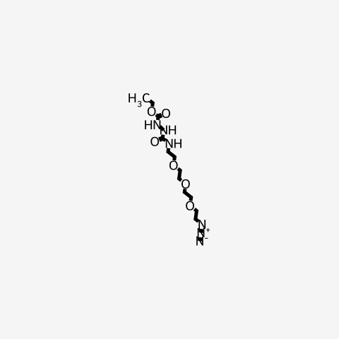 CCOC(=O)NNC(=O)NCCOCCOCCOCCN=[N+]=[N-]